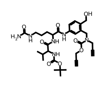 C#CCOC(=O)N(CC#C)Cc1cc(NC(=O)C(CCCNC(N)=O)NC(=O)C(NC(=O)OC(C)(C)C)C(C)C)ccc1CO